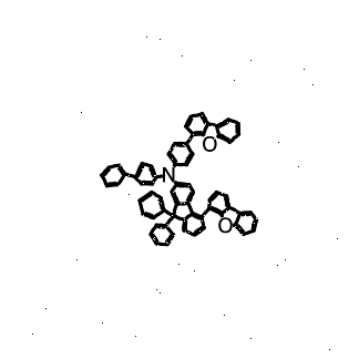 c1ccc(-c2ccc(N(c3ccc(-c4cccc5c4oc4ccccc45)cc3)c3ccc4c(c3)C(c3ccccc3)(c3ccccc3)c3cccc(-c5cccc6c5oc5ccccc56)c3-4)cc2)cc1